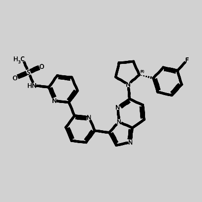 CS(=O)(=O)Nc1cccc(-c2cccc(-c3cnc4ccc(N5CCC[C@@H]5c5cccc(F)c5)nn34)n2)n1